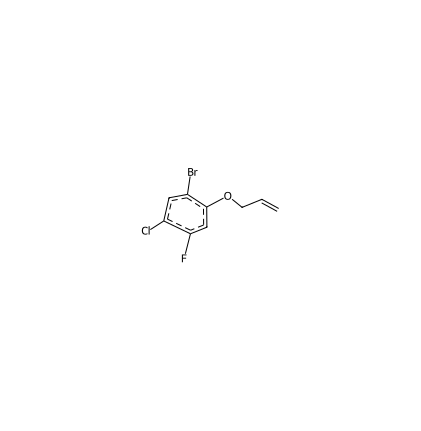 C=CCOc1cc(F)c(Cl)cc1Br